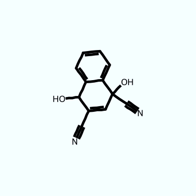 N#CC1=CC(O)(C#N)c2ccccc2C1O